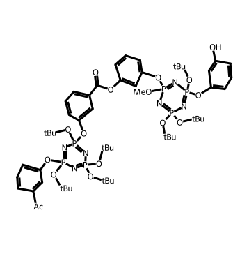 COP1(Oc2cccc(OC(=O)c3cccc(OP4(OC(C)(C)C)=NP(OC(C)(C)C)(OC(C)(C)C)=NP(Oc5cccc(C(C)=O)c5)(OC(C)(C)C)=N4)c3)c2)=NP(Oc2cccc(O)c2)(OC(C)(C)C)=NP(OC(C)(C)C)(OC(C)(C)C)=N1